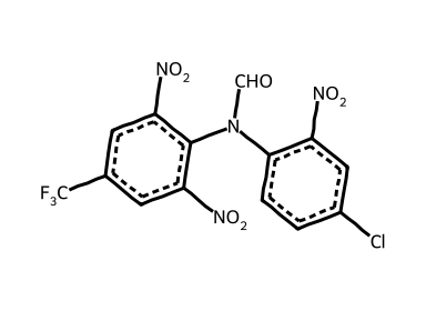 O=CN(c1ccc(Cl)cc1[N+](=O)[O-])c1c([N+](=O)[O-])cc(C(F)(F)F)cc1[N+](=O)[O-]